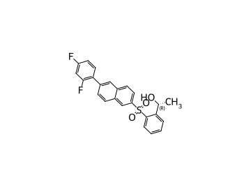 C[C@@H](O)c1ccccc1S(=O)(=O)c1ccc2cc(-c3ccc(F)cc3F)ccc2c1